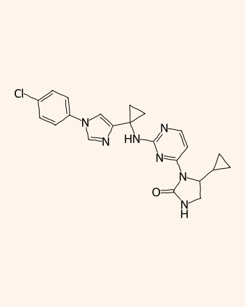 O=C1NCC(C2CC2)N1c1ccnc(NC2(c3cn(-c4ccc(Cl)cc4)cn3)CC2)n1